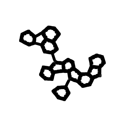 c1ccc(-n2c3ccc4oc5ccccc5c4c3c3ccc4c(c5ccccc5n4-c4cc5c6c(cccc6c4)-c4ccccc4-5)c32)cc1